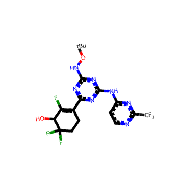 CC(C)(C)ONc1nc(Nc2ccnc(C(F)(F)F)n2)nc(C2=C(F)C(O)C(F)(F)CC2)n1